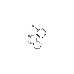 CCCCc1ccccc1N.O=C1CCCN1